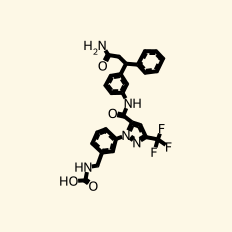 NC(=O)CC(c1ccccc1)c1cccc(NC(=O)c2cc(C(F)(F)F)nn2-c2cccc(CNC(=O)O)c2)c1